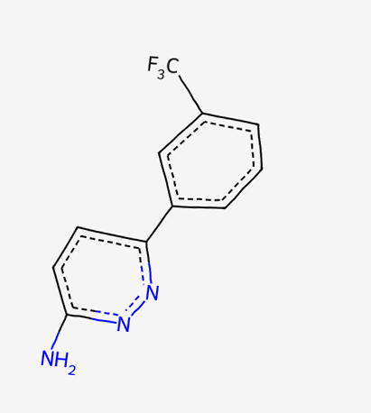 Nc1ccc(-c2cccc(C(F)(F)F)c2)nn1